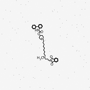 CN(CCCCCCCCCN1CCC(OC(=O)Nc2ccccc2-c2ccccc2)CC1)CCCN1C(=O)c2ccccc2C1=O